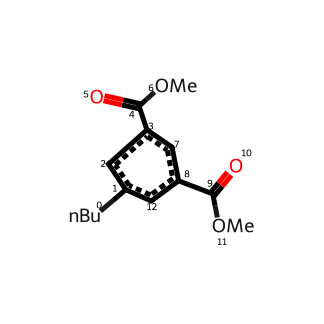 CCCCc1cc(C(=O)OC)cc(C(=O)OC)c1